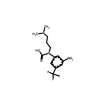 CN(C)CCCN(C(=O)O)c1cc(N)cc(C(F)(F)F)c1